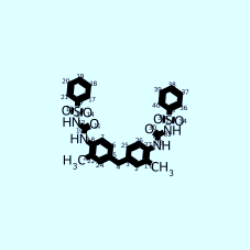 Cc1cc(Cc2ccc(NC(=O)NS(=O)(=O)c3ccccc3)c(C)c2)ccc1NC(=O)NS(=O)(=O)c1ccccc1